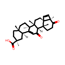 C[C@]1(C(=O)O)CC[C@]2(C)CC[C@]3(C)C(=CC(=O)[C@@H]4[C@@]5(C)CCC(=O)[C@]6(C)C=C[C@]65CC[C@]43C)[C@H]2C1